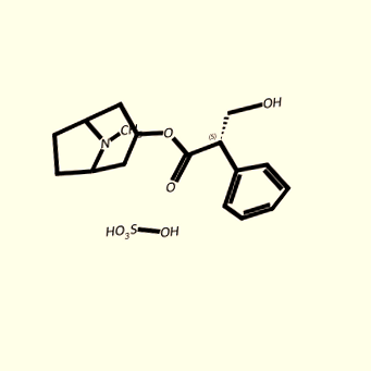 CN1C2CCC1CC(OC(=O)[C@H](CO)c1ccccc1)C2.O=S(=O)(O)O